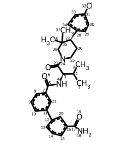 CC(C)[C@@H](NC(=O)c1cccc(-c2cccc(C(N)=O)c2)c1)C(=O)N1CC[C@H](c2ccc(Cl)cc2)C(C)(C)C1